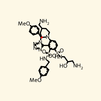 COc1ccc(CNS(=O)(=O)c2c(S(=O)(=O)NCC(O)CN)ccc(N3CCC(CN)CC3)c2-c2nnnn2Cc2ccc(OC)cc2)cc1